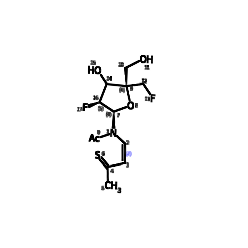 CC(=O)N(/C=C\C(C)=S)[C@@H]1O[C@@](CO)(CF)C(O)[C@@H]1F